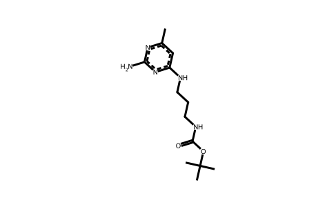 Cc1cc(NCCCNC(=O)OC(C)(C)C)nc(N)n1